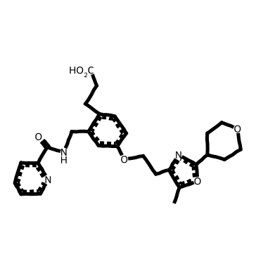 Cc1oc(C2CCOCC2)nc1CCOc1ccc(CCC(=O)O)c(CNC(=O)c2ccccn2)c1